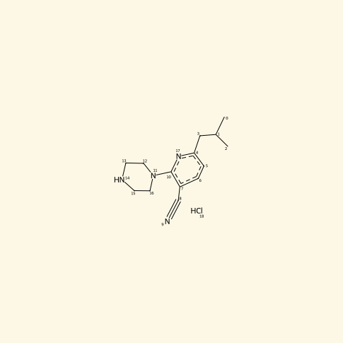 CC(C)Cc1ccc(C#N)c(N2CCNCC2)n1.Cl